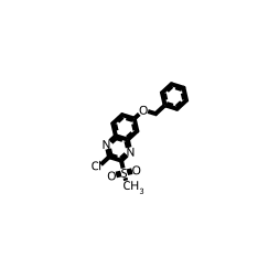 CS(=O)(=O)c1nc2cc(OCc3ccccc3)ccc2nc1Cl